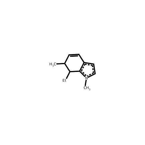 CCC1c2c(ccn2C)C=CC1C